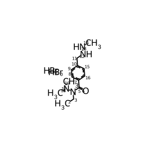 Br.Br.CCN(C(=O)c1ccc(CNNC)cc1)N(C)C